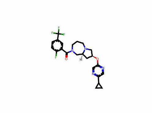 O=C(c1cc(C(F)(F)F)ccc1F)N1CCCN2C[C@@H](Oc3cnc(C4CC4)cn3)C[C@H]2C1